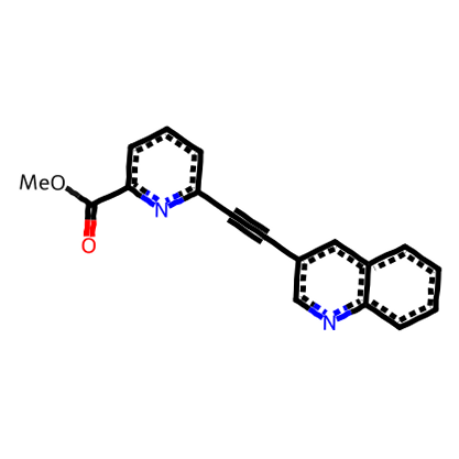 COC(=O)c1cccc(C#Cc2cnc3ccccc3c2)n1